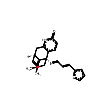 C/C=C1\[C@H]2C=C(C)C[C@]1(N=CC=Cc1cccs1)c1ccc(=O)[nH]c1C2